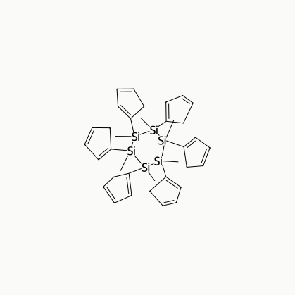 C[Si]1(C2=CC=CC2)[Si](C)(C2=CC=CC2)[Si](C)(C2=CC=CC2)[Si](C)(C2=CC=CC2)[Si](C)(C2=CC=CC2)[Si]1(C)C1=CC=CC1